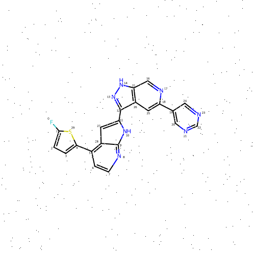 Fc1ccc(-c2ccnc3[nH]c(-c4n[nH]c5cnc(-c6cncnc6)cc45)cc23)s1